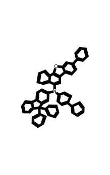 c1ccc(-c2ccc(N(c3ccc4c(c3)C(c3ccccc3)(c3ccccc3)c3ccccc3-4)c3cc4c5ccc(-c6ccccc6)cc5oc4c4ccccc34)cc2)cc1